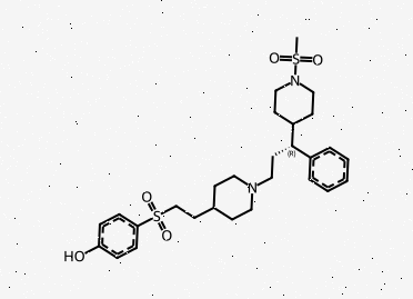 CS(=O)(=O)N1CCC([C@@H](CCN2CCC(CCS(=O)(=O)c3ccc(O)cc3)CC2)c2ccccc2)CC1